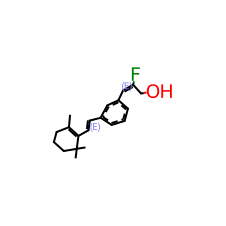 CC1=C(/C=C/c2cccc(/C=C(/F)CO)c2)C(C)(C)CCC1